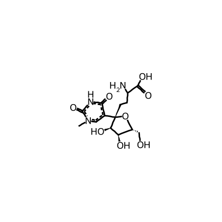 Cn1cc([C@]2(CCC(N)C(=O)O)O[C@H](CO)[C@@H](O)[C@H]2O)c(=O)[nH]c1=O